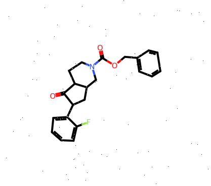 O=C1C(c2ccccc2F)CC2CN(C(=O)OCc3ccccc3)CCC12